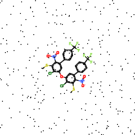 CSc1c(Cl)c(Oc2cc(-c3ccc(C(F)(F)F)cc3)c([N+](=O)[O-])c(SC)c2Cl)cc(-c2ccc(C(F)(F)F)cc2)c1[N+](=O)[O-]